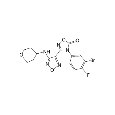 O=c1onc(-c2nonc2NC2CCOCC2)n1-c1ccc(F)c(Br)c1